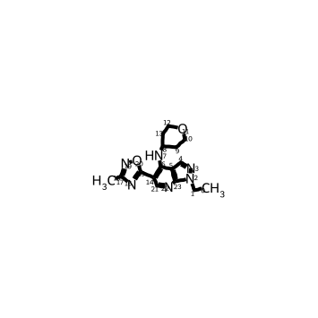 CCn1ncc2c(NC3CCOCC3)c(-c3nc(C)no3)cnc21